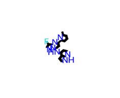 Cc1cccc(-c2cc(Nc3ccnc4[nH]ccc34)n3ncc(F)c3n2)n1